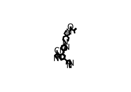 C=C(C)C(=O)N1CCC2(CCN(c3ccc(-c4cc(-c5cnn(C)c5)cn5ncc(C#N)c45)cn3)CC2)C1